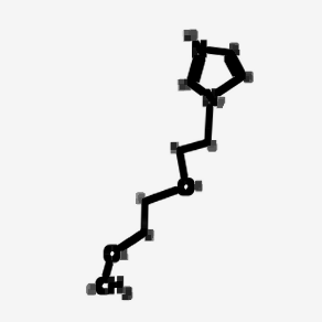 COCCOCCn1c[c]nc1